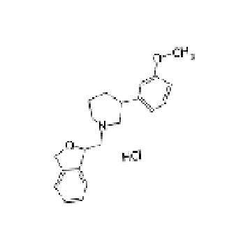 COc1cccc(C2CCCN(CC3OCc4ccccc43)C2)c1.Cl